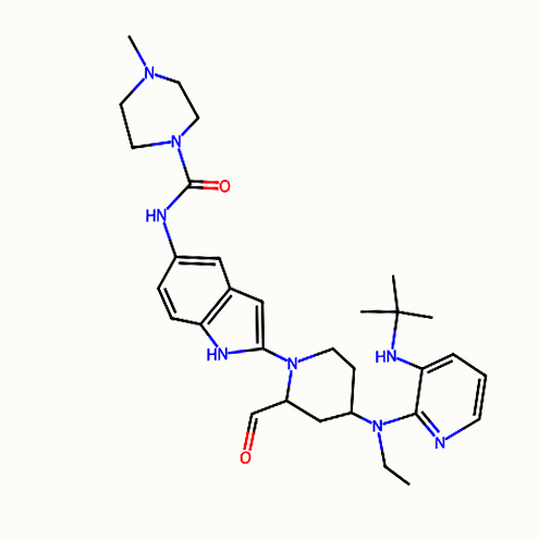 CCN(c1ncccc1NC(C)(C)C)C1CCN(c2cc3cc(NC(=O)N4CCN(C)CC4)ccc3[nH]2)C(C=O)C1